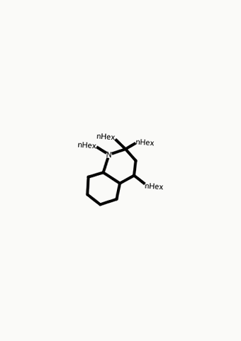 CCCCCCC1CC(CCCCCC)(CCCCCC)N(CCCCCC)C2CCCCC12